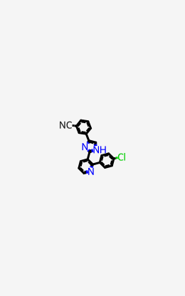 N#Cc1cccc(-c2c[nH]c(-c3cccnc3-c3ccc(Cl)cc3)n2)c1